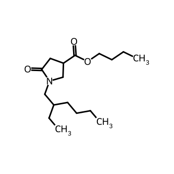 CCCCOC(=O)C1CC(=O)N(CC(CC)CCCC)C1